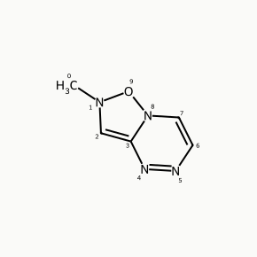 CN1C=C2N=NC=CN2O1